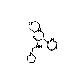 S=C(NCN1CCCC1)C(CN1CCOCC1)c1ccccn1